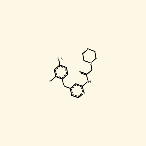 O=C(CN1C[CH]OCC1)Nc1cc(Oc2ccc([N+](=O)[O-])cc2F)ccn1